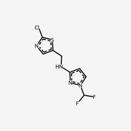 FC(F)n1ccc(NCc2cnc(Cl)s2)n1